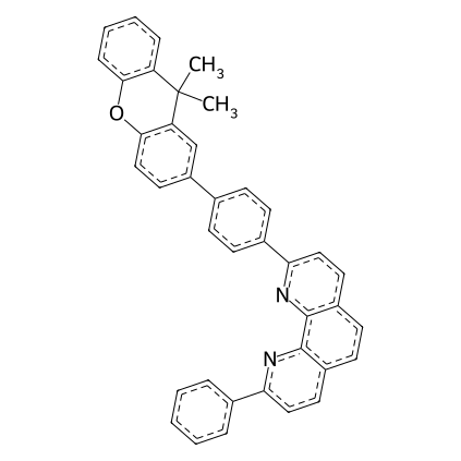 CC1(C)c2ccccc2Oc2ccc(-c3ccc(-c4ccc5ccc6ccc(-c7ccccc7)nc6c5n4)cc3)cc21